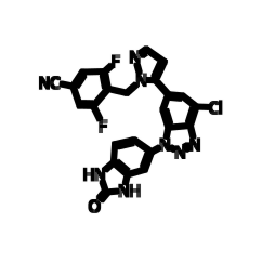 N#Cc1cc(F)c(Cn2nccc2-c2cc(Cl)c3nnn(-c4ccc5[nH]c(=O)[nH]c5c4)c3c2)c(F)c1